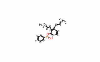 C=CCc1cccc(OP(O)c2ccccc2)c1CC=C